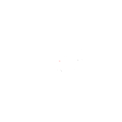 CC(=O)N[C@@H]1[C@@H](OCc2ccccc2)O[C@H](COC(C)=O)[C@@H](OC(C)=O)[C@@H]1OC(C)=O